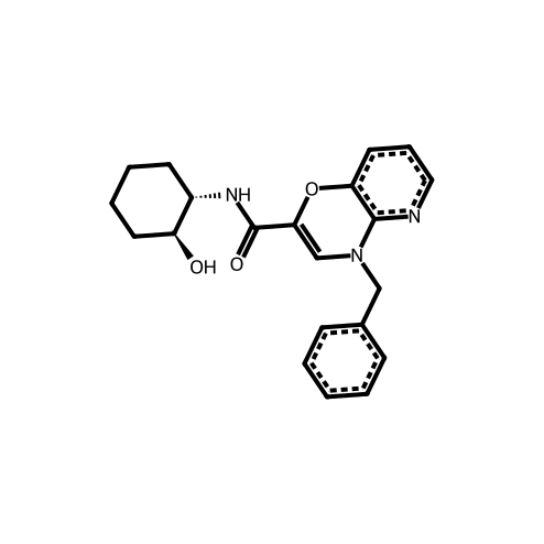 O=C(N[C@H]1CCCC[C@@H]1O)C1=CN(Cc2ccccc2)c2ncccc2O1